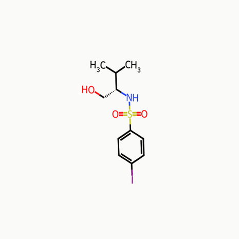 CC(C)[C@@H](CO)NS(=O)(=O)c1ccc(I)cc1